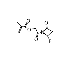 C=C(C)C(=O)OCC(=O)N1C(=O)CC1F